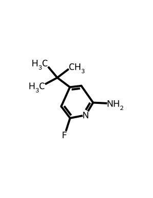 CC(C)(C)c1cc(N)nc(F)c1